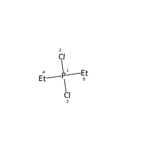 CC[P](Cl)(Cl)CC